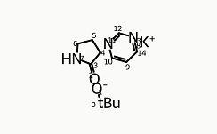 CC(C)(C)[O-].O=C1CCCN1.[K+].c1cncnc1